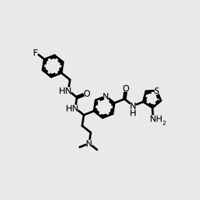 CN(C)CCC(NC(=O)NCc1ccc(F)cc1)c1ccc(C(=O)Nc2cscc2N)nc1